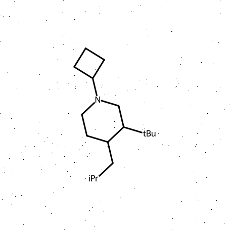 CC(C)CC1CCN(C2CCC2)CC1C(C)(C)C